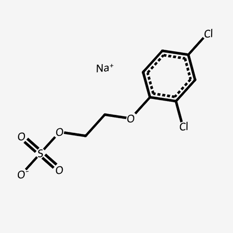 O=S(=O)([O-])OCCOc1ccc(Cl)cc1Cl.[Na+]